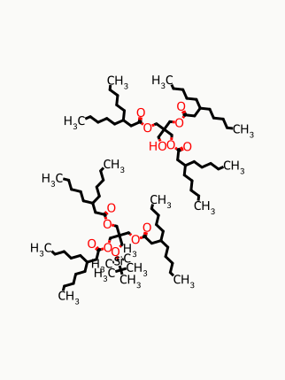 CCCCCC(CCCCC)CC(=O)OCC(CO)(COC(=O)CC(CCCCC)CCCCC)COC(=O)CC(CCCCC)CCCCC.CCCCCC(CCCCC)CC(=O)OCC(COC(=O)CC(CCCCC)CCCCC)(COC(=O)CC(CCCCC)CCCCC)CO[Si](C)(C)C(C)(C)C